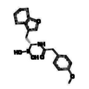 COc1ccc(CC(=O)N[C@@H](Cc2coc3ccccc23)B(O)O)cc1